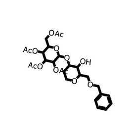 CC(=O)OCC1OC(OC2CCOC(COCc3ccccc3)C2O)C(OC(C)=O)C(OC(C)=O)C1OC(C)=O